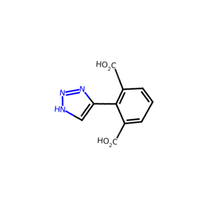 O=C(O)c1cccc(C(=O)O)c1-c1c[nH]nn1